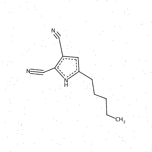 CCCCCc1cc(C#N)c(C#N)[nH]1